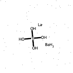 [BaH2].[La].[OH][Ti]([OH])([OH])[OH]